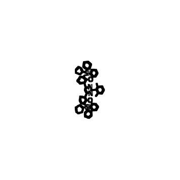 Cc1cccc(C)c1-c1nc(-c2cccc3c2Oc2ccccc2[Si]3(C2=CC=CCC2)c2ccccc2)cc(-c2cccc3c2Oc2ccccc2[Si]3(C2=CC=CCC2)c2ccccc2)n1